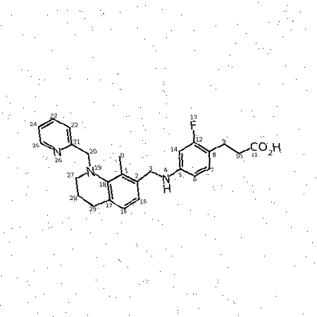 Cc1c(CNc2ccc(CCC(=O)O)c(F)c2)ccc2c1N(Cc1ccccn1)CCC2